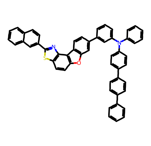 c1ccc(-c2ccc(-c3ccc(N(c4ccccc4)c4cccc(-c5ccc6c(c5)oc5ccc7sc(-c8ccc9ccccc9c8)nc7c56)c4)cc3)cc2)cc1